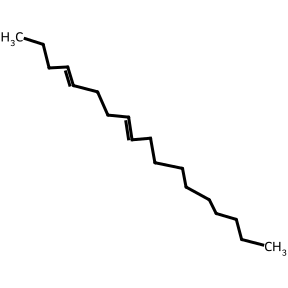 CCCC=CCCC=CCCCCCCCCC